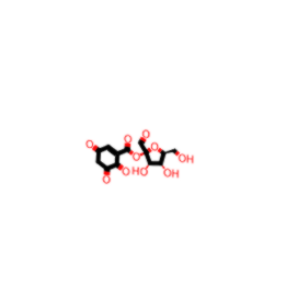 O=C[C@]1(OC(=O)C2=CC(=O)CC(=O)C2=O)O[C@@H](CO)[C@H](O)[C@@H]1O